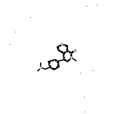 CN(C)Cc1ccc(-c2cn(C)c(=O)c3cnccc23)cc1